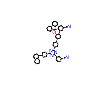 N#Cc1cccc(-c2nc(-c3ccc(-c4ccc5c(c4)OC(c4ccccc4)(c4ccccc4)c4ccc(C#N)cc4-5)cc3)nc(-c3ccc(-c4cccc5ccccc45)cc3)n2)c1